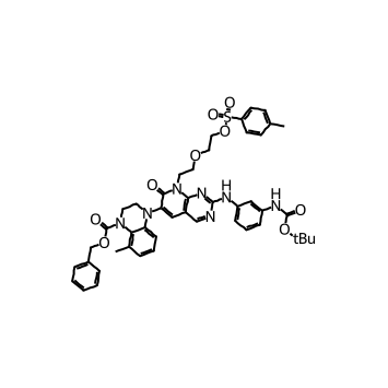 Cc1ccc(S(=O)(=O)OCCOCCn2c(=O)c(N3CCN(C(=O)OCc4ccccc4)c4c(C)cccc43)cc3cnc(Nc4cccc(NC(=O)OC(C)(C)C)c4)nc32)cc1